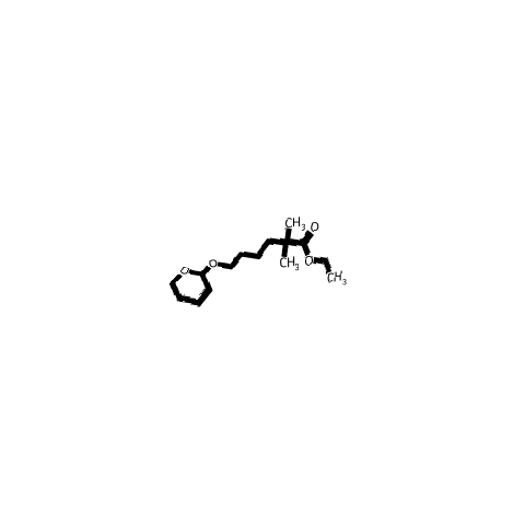 CCOC(=O)C(C)(C)CCCCOC1CCCCO1